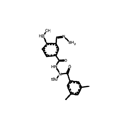 B/N=C\c1cc(C(=O)NN(C(=O)c2cc(C)cc(C)c2)C(C)(C)C)ccc1BO